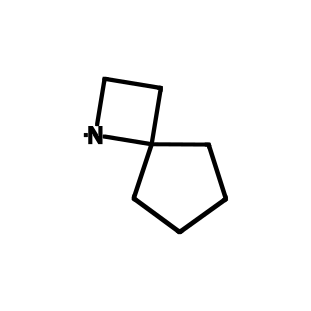 C1CCC2(C1)CC[N]2